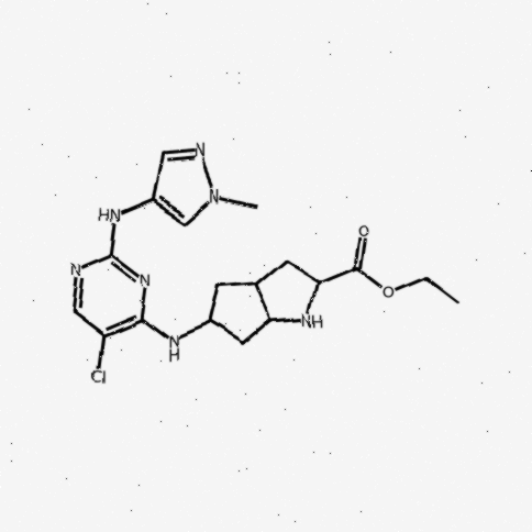 CCOC(=O)C1CC2CC(Nc3nc(Nc4cnn(C)c4)ncc3Cl)CC2N1